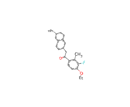 CCCc1ccc2cc(CC(=O)c3ccc(OCC)c(F)c3C)ccc2c1